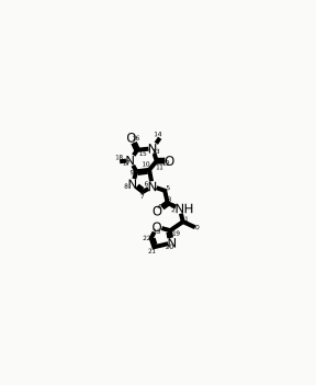 CC(NC(=O)Cn1cnc2c1c(=O)n(C)c(=O)n2C)c1ncco1